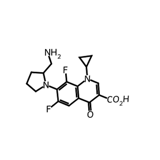 NCC1CCCN1c1c(F)cc2c(=O)c(C(=O)O)cn(C3CC3)c2c1F